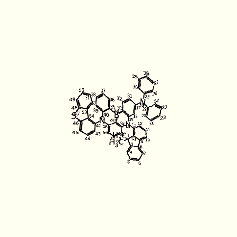 CC1(C)c2ccccc2-c2cccc(N3c4cc(N(c5ccccc5)c5ccccc5)ccc4B4c5ccccc5N(c5cccc6sc7ccccc7c56)c5cccc3c54)c21